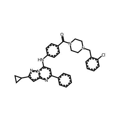 O=C(c1ccc(Nc2cc(-c3ccccc3)nc3cc(C4CC4)nn23)cc1)N1CCN(Cc2ccccc2Cl)CC1